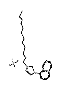 CCCCCCCCCCCC[NH+]1C=CN(c2cccc3ccccc23)C1.F[B-](F)(F)F